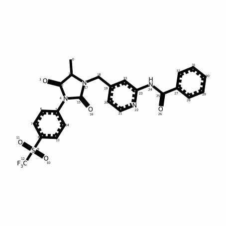 CC1C(=O)N(c2ccc(S(=O)(=O)C(F)(F)F)cc2)C(=O)N1Cc1ccnc(NC(=O)c2ccccc2)c1